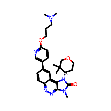 CN(C)CCCOc1ccc(-c2ccc3nnc4c(c3c2)n([C@H]2CCOCC2(C)C)c(=O)n4C)cn1